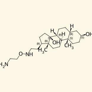 C[C@]12CC[C@H](O)C[C@H]1CC[C@@H]1[C@@H]2CC[C@]2(C)[C@@H](CCNOCCN)CC[C@]12O